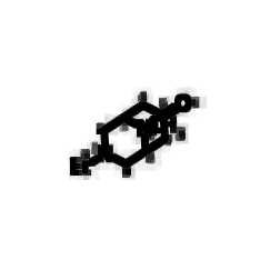 CCN1CC2CC(=O)CC(C1)N2C